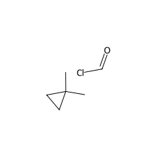 CC1(C)CC1.O=CCl